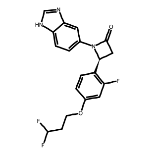 O=C1C[C@@H](c2ccc(OCCC(F)F)cc2F)N1c1ccc2[nH]cnc2c1